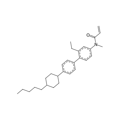 C=CC(=O)N(C)c1ccc(-c2ccc(C3CCC(CCCCC)CC3)cc2)c(CC)c1